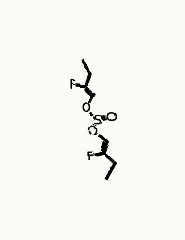 CCC(F)=COS(=O)OC=C(F)CC